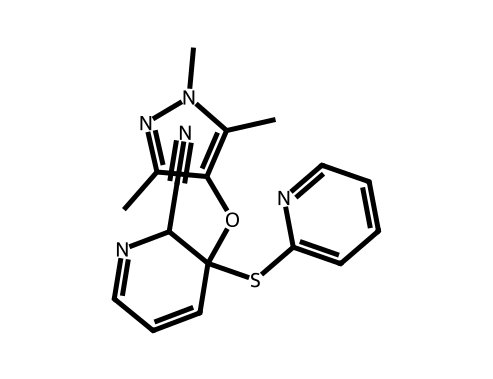 Cc1nn(C)c(C)c1OC1(Sc2ccccn2)C=CC=NC1C#N